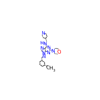 Cc1cccc(/C=N/n2cnc3c(NCc4ccncc4)nc(N4CCOCC4)nc32)c1